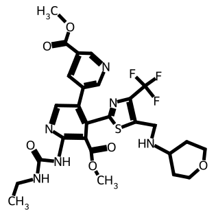 CCNC(=O)Nc1ncc(-c2cncc(C(=O)OC)c2)c(-c2nc(C(F)(F)F)c(CNC3CCOCC3)s2)c1C(=O)OC